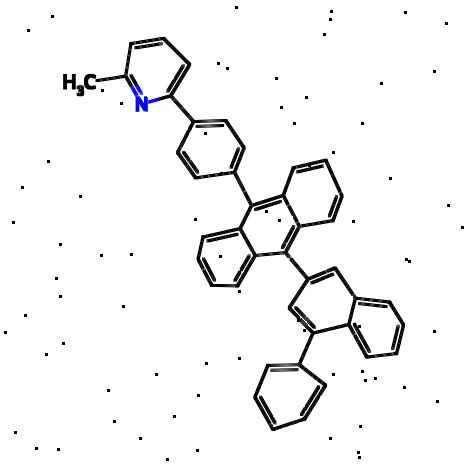 Cc1cccc(-c2ccc(-c3c4ccccc4c(-c4cc(-c5ccccc5)c5ccccc5c4)c4ccccc34)cc2)n1